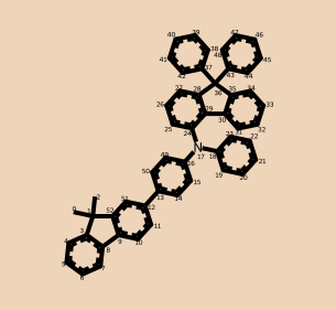 CC1(C)c2ccccc2-c2ccc(-c3ccc(N(c4ccccc4)c4cccc5c4-c4ccccc4C5(c4ccccc4)c4ccccc4)cc3)cc21